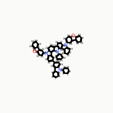 c1ccc(-n2c3ccccc3c3cc(-c4ccc5c(c4)c4c(ccc6c7ccc8c(c9ccccc9n8-c8ccc9oc%10ccccc%10c9c8)c7n(-c7ccccc7)c64)n5-c4ccc5oc6ccccc6c5c4)ccc32)cc1